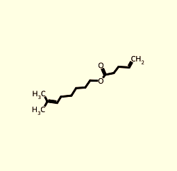 C=CCCC(=O)OCCCCCC=C(C)C